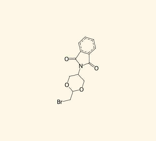 O=C1c2ccccc2C(=O)N1C1COC(CBr)OC1